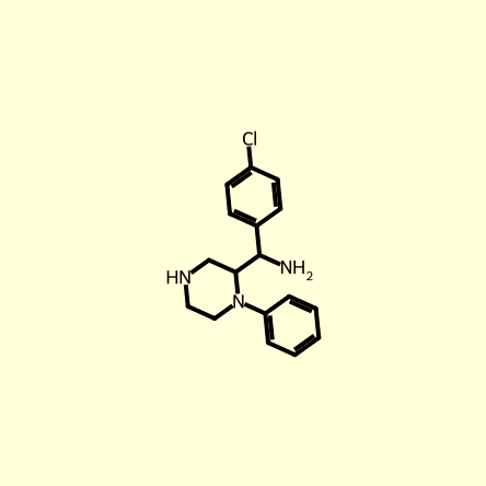 NC(c1ccc(Cl)cc1)C1CNCCN1c1ccccc1